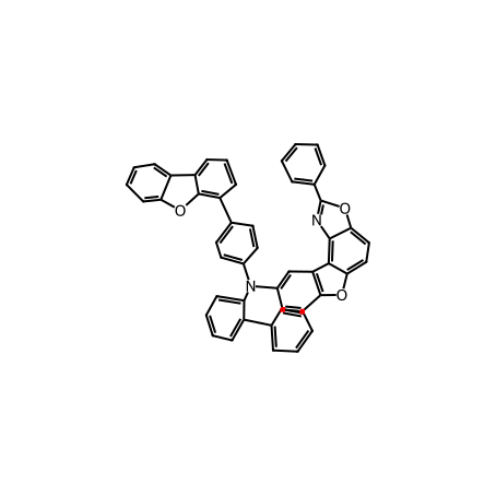 c1ccc(-c2nc3c(ccc4oc5ccc(N(c6ccc(-c7cccc8c7oc7ccccc78)cc6)c6ccccc6-c6ccccc6)cc5c43)o2)cc1